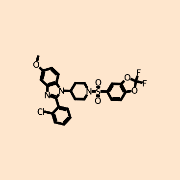 COc1ccc2c(c1)nc(-c1ccccc1Cl)n2C1CCN(S(=O)(=O)c2ccc3c(c2)OC(F)(F)O3)CC1